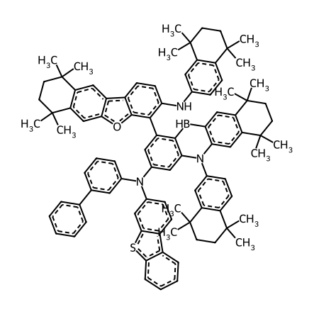 CC1(C)CCC(C)(C)c2cc(Nc3ccc4c(oc5cc6c(cc54)C(C)(C)CCC6(C)C)c3-c3cc(N(c4cccc(-c5ccccc5)c4)c4ccc5c(c4)sc4ccccc45)cc4c3Bc3cc5c(cc3N4c3ccc4c(c3)C(C)(C)CCC4(C)C)C(C)(C)CCC5(C)C)ccc21